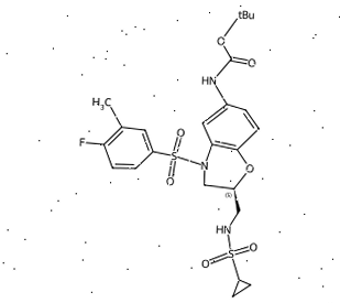 Cc1cc(S(=O)(=O)N2C[C@H](CNS(=O)(=O)C3CC3)Oc3ccc(NC(=O)OC(C)(C)C)cc32)ccc1F